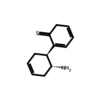 N[C@@H]1CC=CC[C@H]1C1=CC=CCC1=S